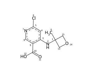 CC1(Nc2cc(Cl)ncc2C(=O)O)COC1